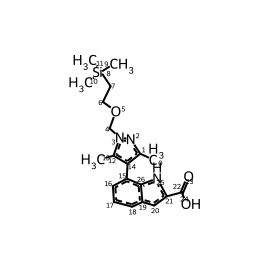 Cc1nn(COCC[Si](C)(C)C)c(C)c1-c1cccc2cc(C(=O)O)[nH]c12